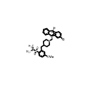 COc1ccc(S(=O)(=O)N(C)C)c(CC2CCN(C[C@]34C[C@@H](c5ccccc53)c3ccc(Cl)cc34)CC2)c1